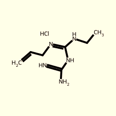 C=CC/N=C(/NCC)NC(=N)N.Cl